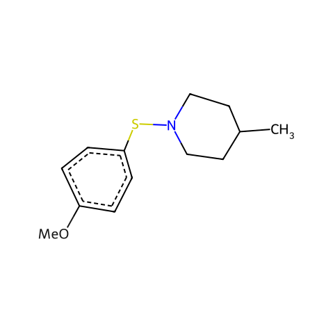 COc1ccc(SN2CCC(C)CC2)cc1